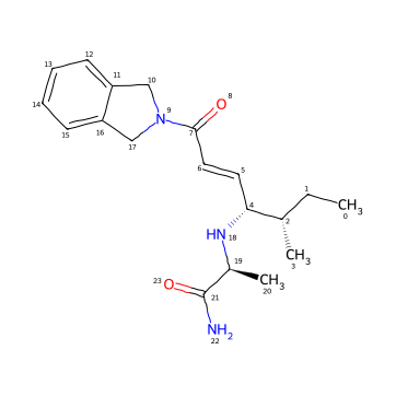 CC[C@H](C)[C@@H](/C=C/C(=O)N1Cc2ccccc2C1)N[C@@H](C)C(N)=O